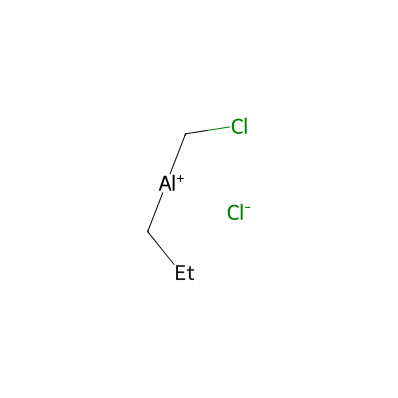 CC[CH2][Al+][CH2]Cl.[Cl-]